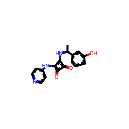 CC(Nc1c(Nc2ccncc2)c(=O)c1=O)c1cccc(O)c1